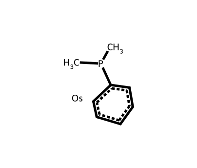 CP(C)c1ccccc1.[Os]